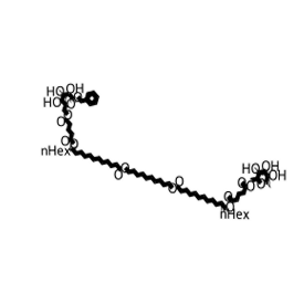 CCCCCC[C@H](CCCCCCCCCCC(=O)OCCCCCCCCCCOC(=O)CCCCCCCCCC[C@@H](CCCCCC)OC(=O)CCCC(=O)OCC1O[C@@H](C)C(O)[C@@H](O)[C@H]1O)OC(=O)CCCC(=O)OCC1O[C@@H](OCc2ccccc2)C(O)[C@@H](O)[C@@H]1O